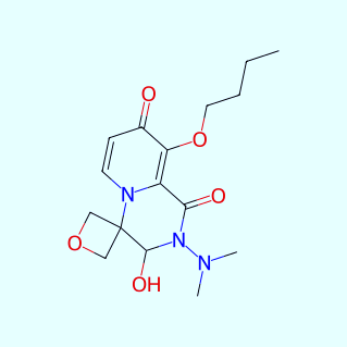 CCCCOc1c2n(ccc1=O)C1(COC1)C(O)N(N(C)C)C2=O